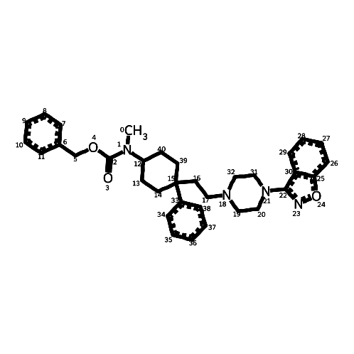 CN(C(=O)OCc1ccccc1)C1CCC(CCN2CCN(c3noc4ccccc34)CC2)(c2ccccc2)CC1